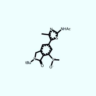 CC(=O)Nc1nc(C)c(-c2cc3c(c([S+](C)[O-])c2)C(=O)N(C(C)(C)C)C3)s1